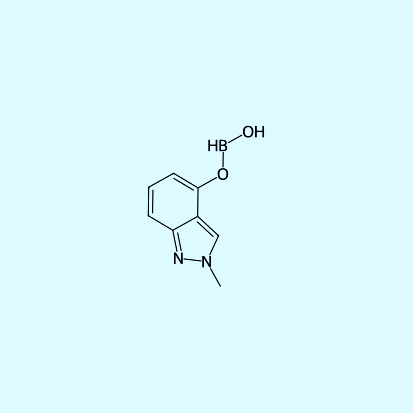 Cn1cc2c(OBO)cccc2n1